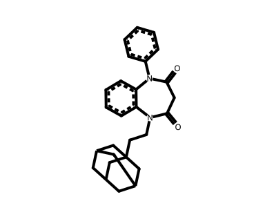 O=C1CC(=O)N(c2ccccc2)c2ccccc2N1CCC12CC3CC(CC(C3)C1)C2